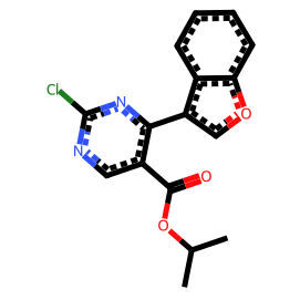 CC(C)OC(=O)c1cnc(Cl)nc1-c1coc2ccccc12